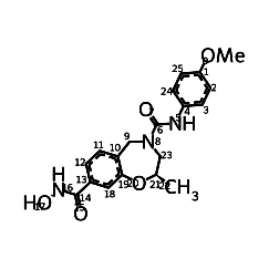 COc1ccc(NC(=O)N2Cc3ccc(C(=O)NO)cc3O[C@H](C)C2)cc1